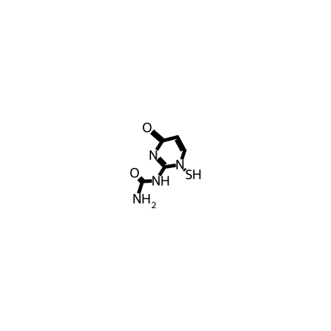 NC(=O)Nc1nc(=O)ccn1S